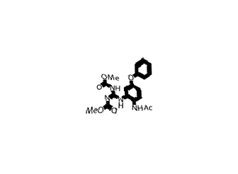 COC(=O)/N=C(/NC(=O)OC)Nc1cc(Oc2ccccc2)ccc1NC(C)=O